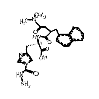 CN(C)C(=O)CC(Cc1cccc2ccccc12)C(=O)N[C@@H](Cc1cn(C(=O)NN)cn1)C(=O)O